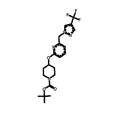 CC(C)(C)OC(=O)N1CCC(Oc2cccc(Cn3cc(C(F)(F)F)cn3)n2)CC1